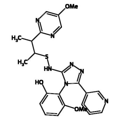 COc1cnc(C(C)C(C)SNc2nnc(C3=C=C=CN=C3)n2-c2c(O)cccc2OC)nc1